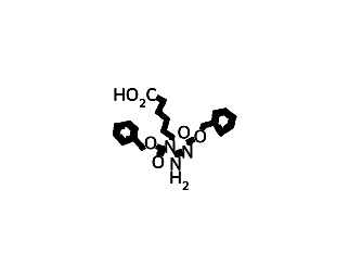 NC(=NC(=O)OCc1ccccc1)N(CCCCCC(=O)O)C(=O)OCc1ccccc1